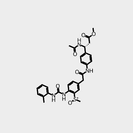 COC(=O)C[C@@H](NC(C)=O)c1ccc(NC(=O)Cc2ccc(NC(=O)Nc3ccccc3C)c([S+](C)[O-])c2)cc1